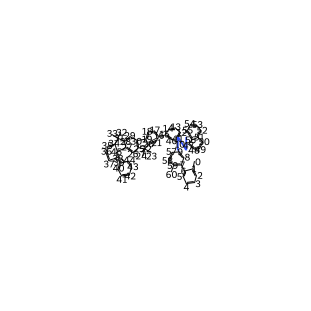 Cc1ccccc1-c1cc(N(c2cccc(-c3ccc4c(c3)C(C)(C)c3cc5c(cc3-4)C(C)(C)c3cccc(-c4ccccc4)c3-5)c2)c2cccc3ccccc23)ccc1C